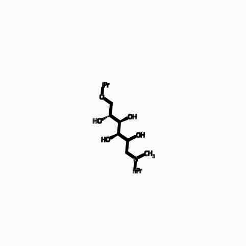 CCCN(C)CC(O)[C@@H](O)[C@H](O)[C@H](O)COC(C)C